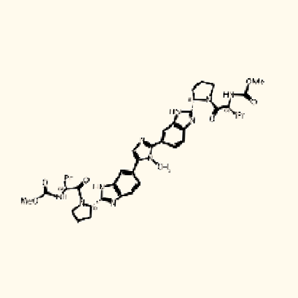 COC(=O)N[C@H](C(=O)N1CCC[C@H]1c1nc2ccc(-c3cnc(-c4ccc5nc([C@@H]6CCCN6C(=O)[C@@H](NC(=O)OC)C(C)C)[nH]c5c4)n3C)cc2[nH]1)C(C)C